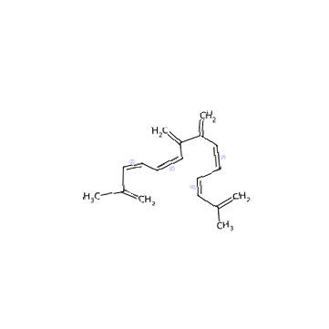 C=C(C)/C=C\C=C/C(=C)C(=C)/C=C\C=C/C(=C)C